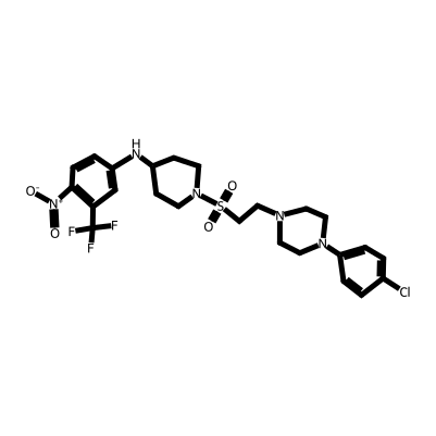 O=[N+]([O-])c1ccc(NC2CCN(S(=O)(=O)CCN3CCN(c4ccc(Cl)cc4)CC3)CC2)cc1C(F)(F)F